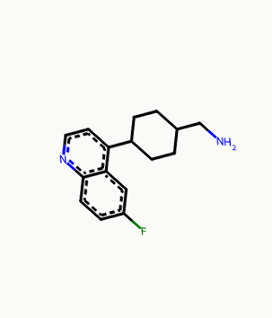 NCC1CCC(c2ccnc3ccc(F)cc23)CC1